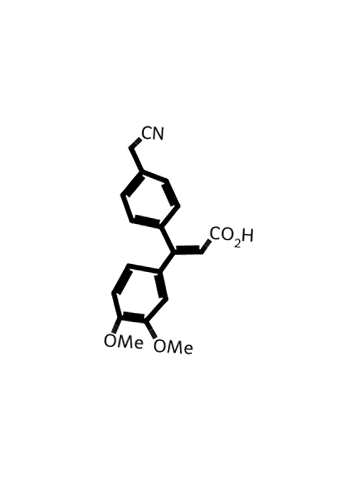 COc1ccc(C(=CC(=O)O)c2ccc(CC#N)cc2)cc1OC